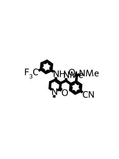 CNC(=O)c1cc(C#N)ccc1C(NC)C1=C(Nc2cccc(C(F)(F)F)c2)CCN(C)C1=O